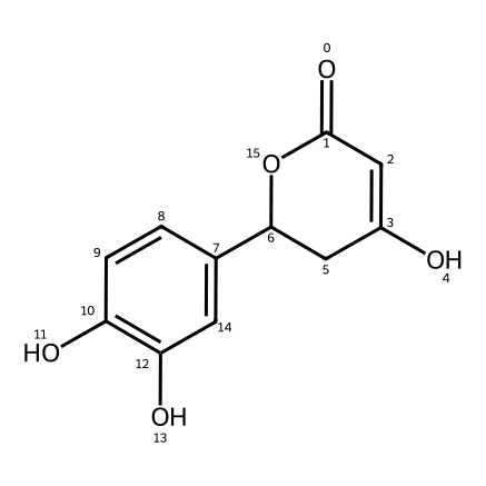 O=C1C=C(O)CC(c2ccc(O)c(O)c2)O1